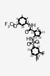 O=C(Nc1cccc(OC(F)(F)F)c1)c1sccc1NS(=O)(=O)c1ccc(F)c(F)c1